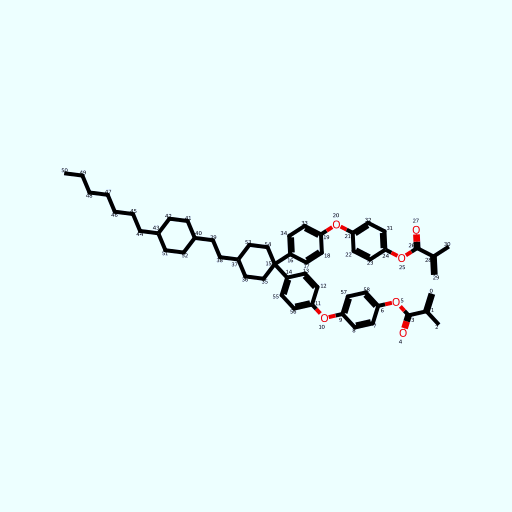 C=C(C)C(=O)Oc1ccc(Oc2ccc(C3(c4ccc(Oc5ccc(OC(=O)C(=C)C)cc5)cc4)CCC(CCC4CCC(CCCCCCC)CC4)CC3)cc2)cc1